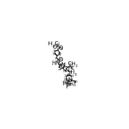 CCS(=O)(=O)c1ccc(CC(=O)Nc2nc3c(s2)CN(C[C@@H]2CCC(C(F)(F)F)N(C4CC4)C2)C3C(C)C)cc1